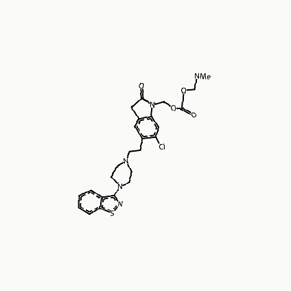 CNCOC(=O)OCN1C(=O)Cc2cc(CCN3CCN(c4nsc5ccccc45)CC3)c(Cl)cc21